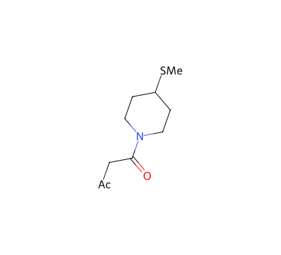 CSC1CCN(C(=O)CC(C)=O)CC1